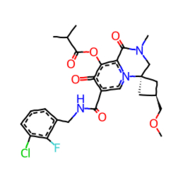 COC[C@H]1C[C@]2(CN(C)C(=O)c3c(OC(=O)C(C)C)c(=O)c(C(=O)NCc4cccc(Cl)c4F)cn32)C1